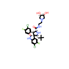 CC(C)(C)C[C@H]1N[C@@H](C(=O)NCCN2C[C@H](O)[C@@H](O)C2)[C@H](c2ccc(F)c(Cl)c2)[C@@]12C(=O)Nc1cc(Cl)c(F)cc12